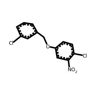 O=[N+]([O-])c1cc(OCc2cccc(Cl)c2)ccc1Cl